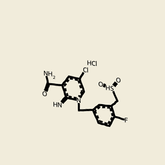 Cl.N=c1c(C(N)=O)cc(Cl)cn1Cc1ccc(F)c(C[SH](=O)=O)c1